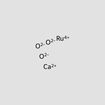 [Ca+2].[O-2].[O-2].[O-2].[Ru+4]